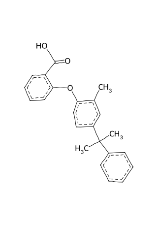 Cc1cc(C(C)(C)c2ccccc2)ccc1Oc1ccccc1C(=O)O